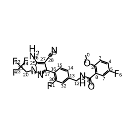 COc1ccc(F)cc1C(=O)NCc1ccc(-c2nn(CC(F)(F)F)c(N)c2C#N)c(F)c1